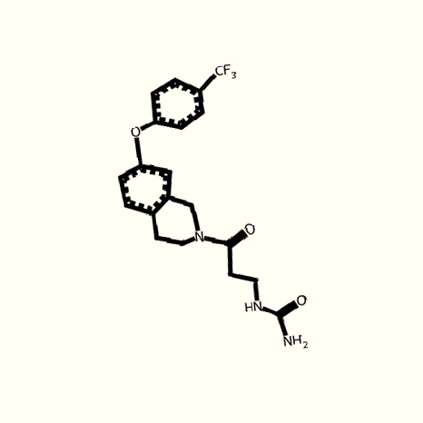 NC(=O)NCCC(=O)N1CCc2ccc(Oc3ccc(C(F)(F)F)cc3)cc2C1